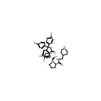 O=C(NCC1CCNCC1)[C@H]1CCCN1C(=O)[C@@H]1C[C@@H](O)CN1C(=O)CC(c1ccc(F)cc1)(c1ccc(F)cc1)c1ccc(F)cc1